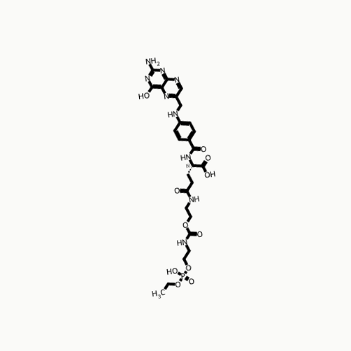 CCOP(=O)(O)OCCNC(=O)OCCNC(=O)CC[C@H](NC(=O)c1ccc(NCc2cnc3nc(N)nc(O)c3n2)cc1)C(=O)O